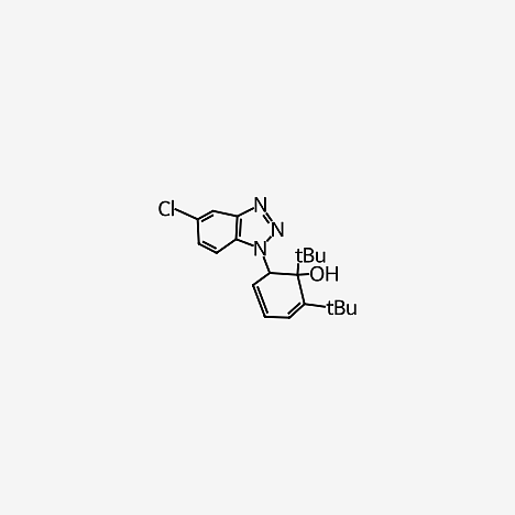 CC(C)(C)C1=CC=CC(n2nnc3cc(Cl)ccc32)C1(O)C(C)(C)C